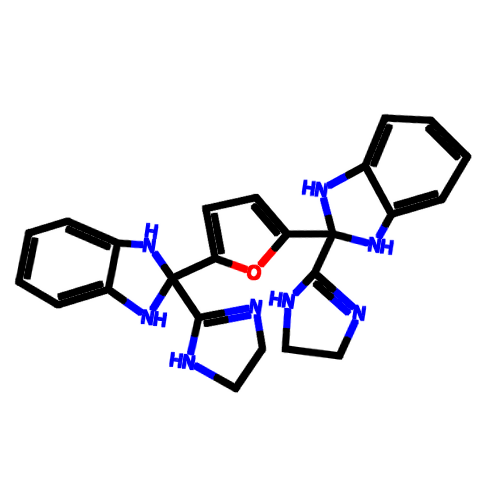 c1ccc2c(c1)NC(C1=NCCN1)(c1ccc(C3(C4=NCCN4)Nc4ccccc4N3)o1)N2